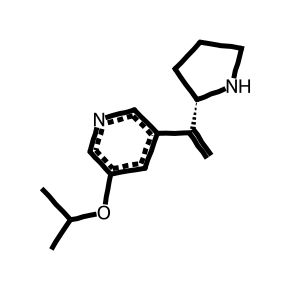 C=C(c1cncc(OC(C)C)c1)[C@@H]1CCCN1